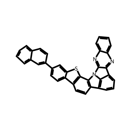 c1ccc2cc(-c3ccc4c(c3)sc3c4ccc4c5cccc6c7nc8ccccc8nc7n(c56)c43)ccc2c1